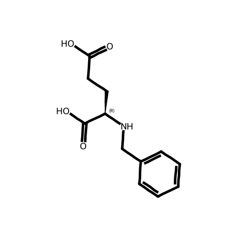 O=C(O)CC[C@@H](NCc1ccccc1)C(=O)O